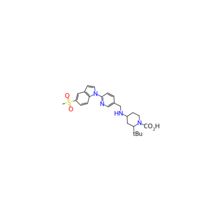 CC(C)(C)C1CC(NCc2ccc(-n3ccc4cc(S(C)(=O)=O)ccc43)nc2)CCN1C(=O)O